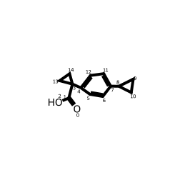 O=C(O)C1(c2ccc(C3CC3)cc2)CC1